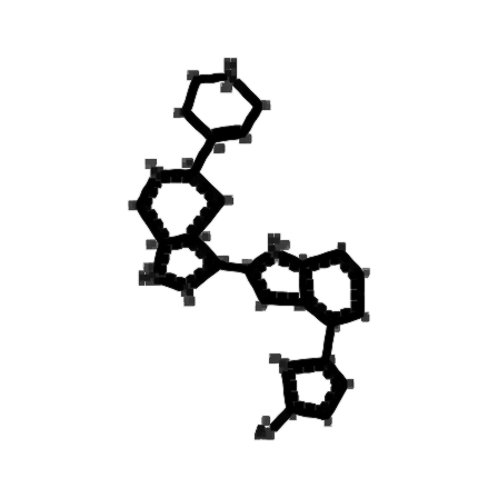 CC(=O)c1ccc(-c2cccc3[nH]c(-c4n[nH]c5cnc(C6=CCNCC6)cc45)cc23)s1